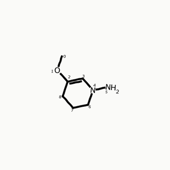 COC1=CN(N)CCC1